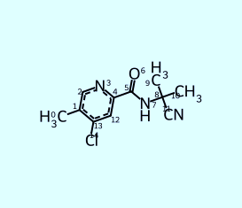 Cc1cnc(C(=O)NC(C)(C)C#N)cc1Cl